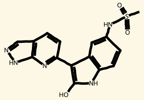 CS(=O)(=O)Nc1ccc2[nH]c(O)c(-c3ccc4cn[nH]c4n3)c2c1